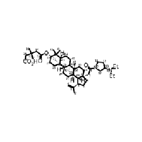 C=C(C)[C@@H]1CC[C@]2(CC(=O)N3CC[C@@H](N(CC)CC)C3)CC[C@]3(C)[C@H](CC[C@@H]4[C@@]5(C)CC[C@H](OC(=O)CC(C)(C)CC(=O)O)C(C)(C)[C@@H]5CC[C@]43C)[C@@H]12